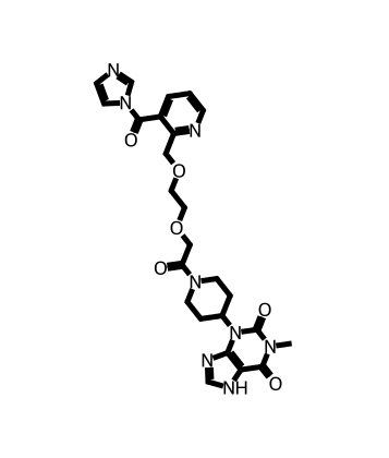 Cn1c(=O)c2[nH]cnc2n(C2CCN(C(=O)COCCOCc3ncccc3C(=O)n3ccnc3)CC2)c1=O